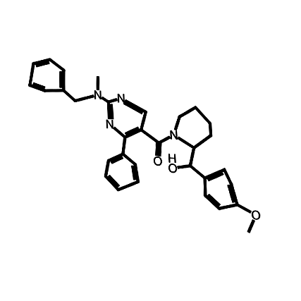 COc1ccc(C(O)C2CCCCN2C(=O)c2cnc(N(C)Cc3ccccc3)nc2-c2ccccc2)cc1